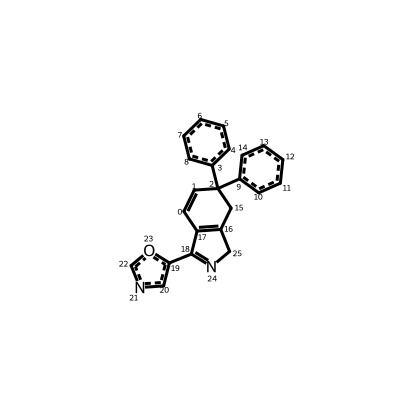 C1=CC(c2ccccc2)(c2ccccc2)CC2=C1C(c1cnco1)=NC2